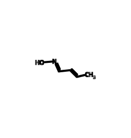 C/C=C/C=N/O